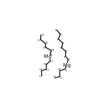 CCCCCCC[CH2][Mg][CH2]CCC.CCCC[CH2][Mg][CH2]CCCC